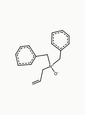 C=CC[N+]([O-])(Cc1ccccc1)Cc1ccccc1